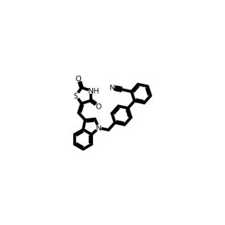 N#Cc1ccccc1-c1ccc(Cn2cc(C=C3SC(=O)NC3=O)c3ccccc32)cc1